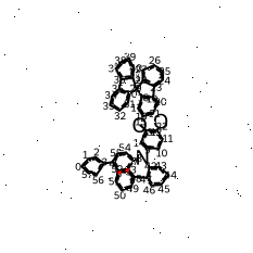 c1ccc(-c2ccc(N(c3ccc4c(c3)Oc3cc5c(cc3O4)-c3ccccc3C53c4ccccc4-c4ccccc43)c3ccccc3-c3ccccc3)cc2)cc1